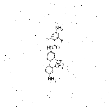 Nc1cc(F)c(C(=O)Nc2ccc(-c3ccc(N)cc3C(F)(F)F)c(C(F)(F)F)c2)c(F)c1